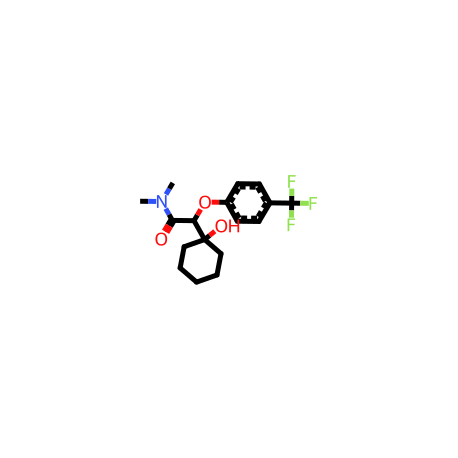 CN(C)C(=O)C(Oc1ccc(C(F)(F)F)cc1)C1(O)CCCCC1